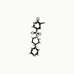 Cc1cc(S(=O)(=O)N2CCC(c3ccncc3)CC2)cnc1Cl